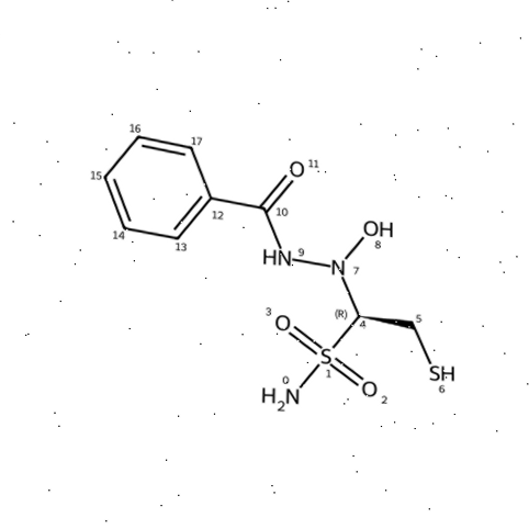 NS(=O)(=O)[C@H](CS)N(O)NC(=O)c1ccccc1